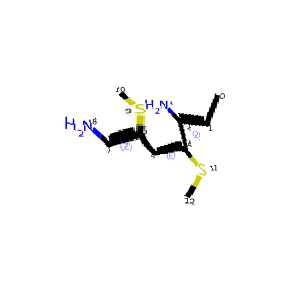 C/C=C(N)/C(=C\C(=C\N)SC)SC